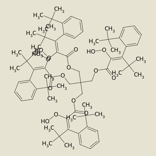 CC(C)(C)C(=C(OO)C(=O)OCC(COC(=O)C(OO)=C(c1ccccc1C(C)(C)C)C(C)(C)C)(COC(=O)C(OO)=C(c1ccccc1C(C)(C)C)C(C)(C)C)COC(=O)C(OO)=C(c1ccccc1C(C)(C)C)C(C)(C)C)c1ccccc1C(C)(C)C